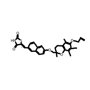 C=CCOc1c(C)c(C)c2c(c1C)CCC(C)(COc1ccc3cc(/C=C4\SC(=O)NC4=O)ccc3c1)O2